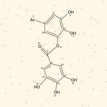 CC(=O)c1cc(O)c(O)c(OC(=O)c2cc(O)c(O)c(O)c2)c1